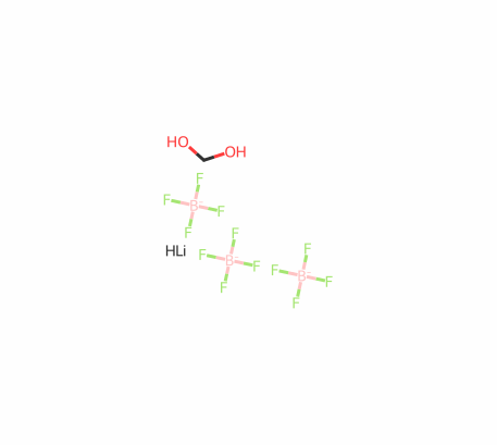 F[B-](F)(F)F.F[B-](F)(F)F.F[B-](F)(F)F.OCO.[LiH]